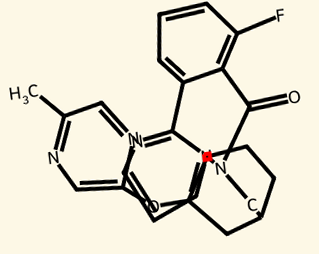 Cc1cnc(OC2CC3CCC2N(C(=O)c2c(F)cccc2-c2ncccn2)C3)cn1